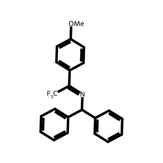 COc1ccc(/C(=N/C(c2ccccc2)c2ccccc2)C(F)(F)F)cc1